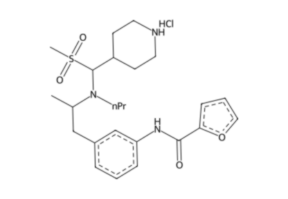 CCCN(C(C)Cc1cccc(NC(=O)c2ccco2)c1)C(C1CCNCC1)S(C)(=O)=O.Cl